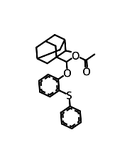 CC(=O)OC(Oc1ccccc1Sc1ccccc1)C12CC3CC(CC(C3)C1C)C2